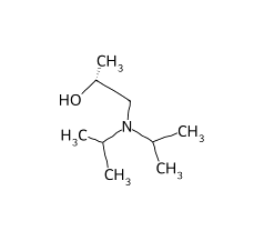 CC(C)N(C[C@@H](C)O)C(C)C